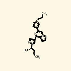 CCC[C@@H](C)n1cc(-c2nc(-c3cnn(CCC)c3)cn3nccc23)cn1